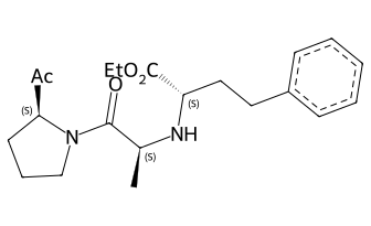 CCOC(=O)[C@H](CCc1ccccc1)N[C@@H](C)C(=O)N1CCC[C@H]1C(C)=O